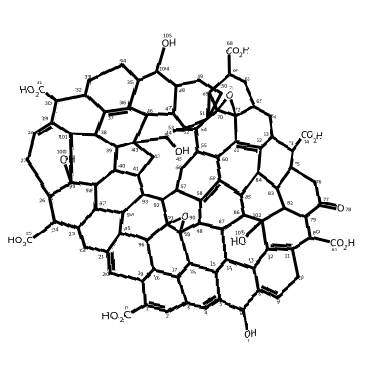 O=C(O)C1=CC2C=C3C(O)C4=CCC5=C6C4C4C3C3C2C2C1C=C1CC7C(C(=O)O)C8CC=C9C(C(=O)O)C%10CCC%11C%12=C%10C%10C%13C%14C%15CC%13(CO)C%12C%12C(CCC%13C%12CC%12C%16CC%17C%18=C%19C%16C%16=C%20C(CC%21CC(C(=O)O)C%13C%12%13OC%16%21%13)C(C(=O)O)C%12CC(=O)C(C5C(=O)O)C5C%12C%20C%19C(C4C%18C34OC43C%17C%15C(C1C23)C7C%14C8(O)C9%10)C65O)C%11O